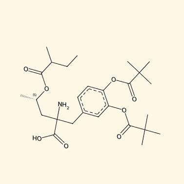 CCC(C)C(=O)O[C@@H](C)CC(N)(Cc1ccc(OC(=O)C(C)(C)C)c(OC(=O)C(C)(C)C)c1)C(=O)O